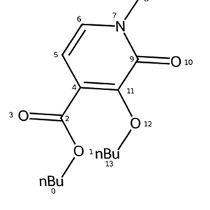 CCCCOC(=O)c1ccn(C)c(=O)c1OCCCC